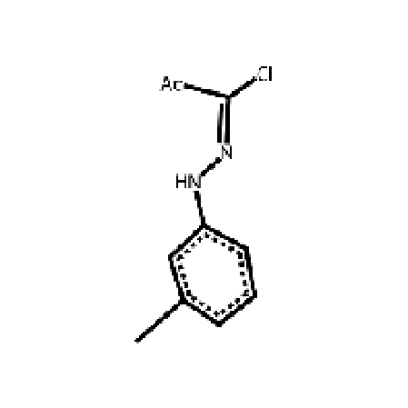 CC(=O)/C(Cl)=N\Nc1cccc(C)c1